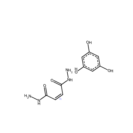 NNC(=O)/C=C\C(=O)NN.Oc1cc(O)cc(O)c1